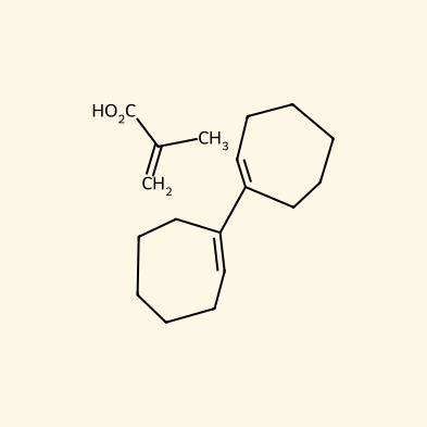 C1=C(C2=CCCCCC2)CCCCC1.C=C(C)C(=O)O